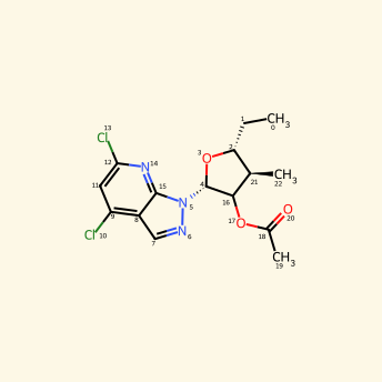 CC[C@H]1O[C@@H](n2ncc3c(Cl)cc(Cl)nc32)C(OC(C)=O)[C@@H]1C